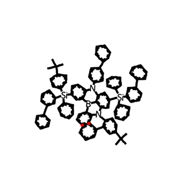 CC(C)(C)c1ccc([Si](c2ccccc2)(c2cccc(-c3ccccc3)c2)c2ccc3c(c2)B2c4ccccc4N(c4ccc(C(C)(C)C)cc4-c4ccccc4)c4cc([Si](c5ccccc5)(c5ccccc5)c5cccc(-c6ccccc6)c5)cc(c42)N3c2ccc(-c3ccccc3)cc2)cc1